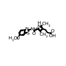 COc1ccc2nc(NC(=O)c3[nH]c(C)c(CCC(=O)O)c3C)sc2c1